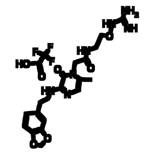 Cc1cnc(NCCc2ccc3c(c2)OCO3)c(=O)n1CC(=O)NCCONC(=N)N.O=C(O)C(F)(F)F